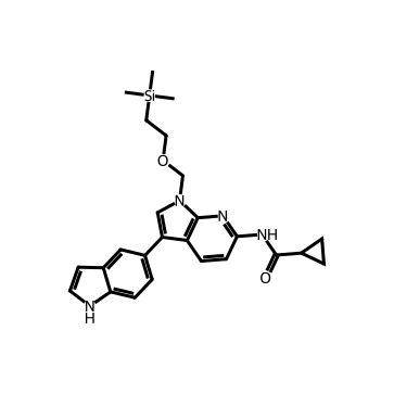 C[Si](C)(C)CCOCn1cc(-c2ccc3[nH]ccc3c2)c2ccc(NC(=O)C3CC3)nc21